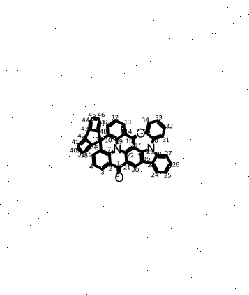 O=c1c2cccc3c2n2c4c(cccc4c(=O)c4c5c(cc1c42)c1ccccc1n5-c1ccccc1)C31c2ccccc2-c2ccccc21